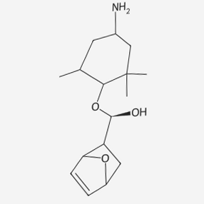 CC1CC(N)CC(C)(C)C1O[C@@H](O)C1CC2C=CC1O2